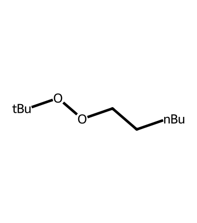 CCCCCCOOC(C)(C)C